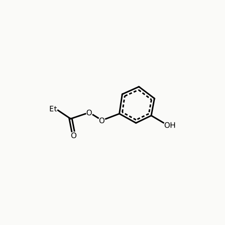 CCC(=O)OOc1cccc(O)c1